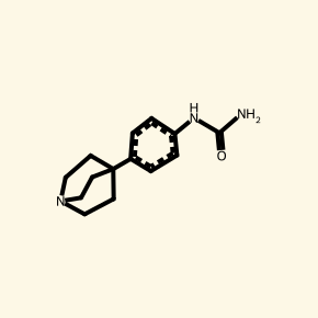 NC(=O)Nc1ccc(C23CCN(CC2)CC3)cc1